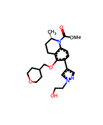 COC(=O)N1c2ccc(-c3cnn(CCO)c3)c(OCC3CCOCC3)c2CC[C@@H]1C